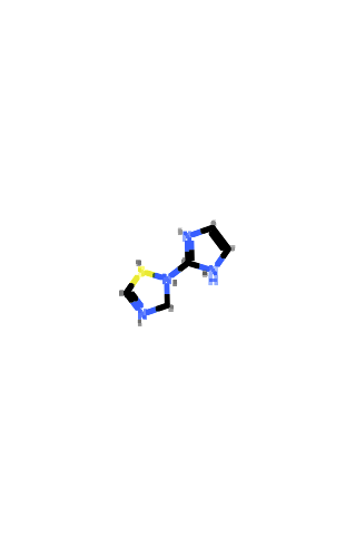 [C]1=NCN(c2ncc[nH]2)S1